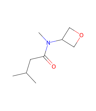 CC(C)CC(=O)N(C)C1COC1